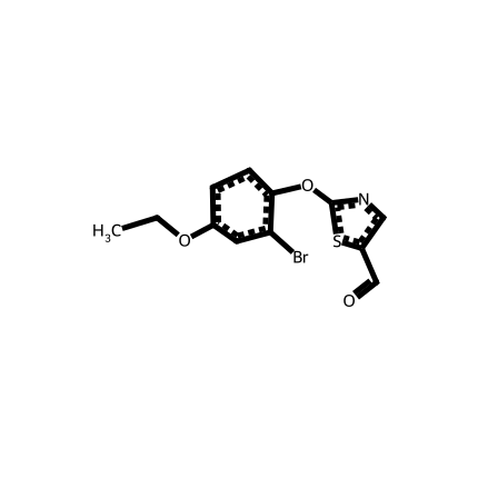 CCOc1ccc(Oc2ncc(C=O)s2)c(Br)c1